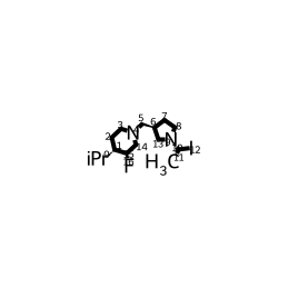 CC(C)[C@@H]1CCN(C[C@H]2CCN(C(C)I)C2)C[C@H]1F